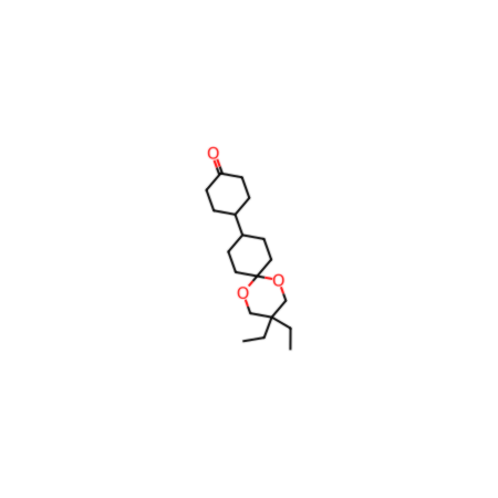 CCC1(CC)COC2(CCC(C3CCC(=O)CC3)CC2)OC1